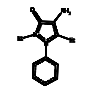 CCc1c(N)c(=O)n(CC)n1-c1ccccc1